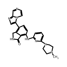 CN1CCN(c2cccc(Nc3ccc(-c4cnc5cnccn45)c4c3C(=O)NC4)n2)CC1